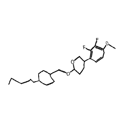 CCCCCC1CCC(COC2CCC(c3ccc(OC)c(F)c3F)CO2)CC1